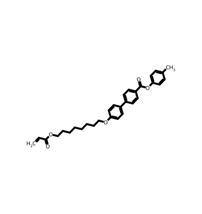 C=CC(=O)OCCCCCCCCOc1ccc(-c2ccc(C(=O)Oc3ccc(C)cc3)cc2)cc1